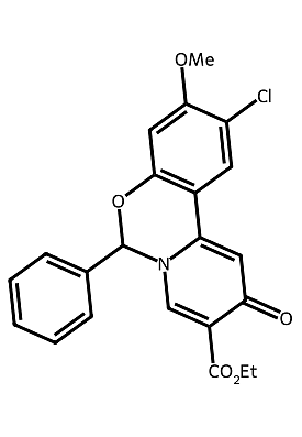 CCOC(=O)c1cn2c(cc1=O)-c1cc(Cl)c(OC)cc1OC2c1ccccc1